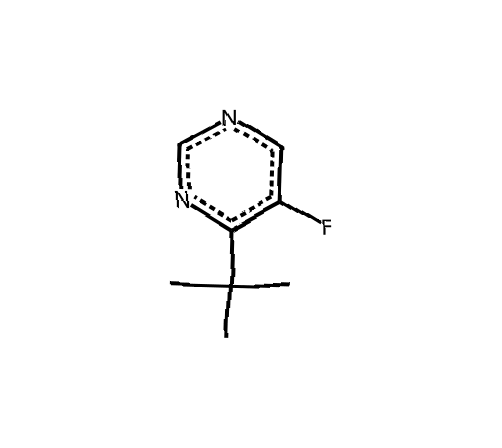 CC(C)(C)c1ncncc1F